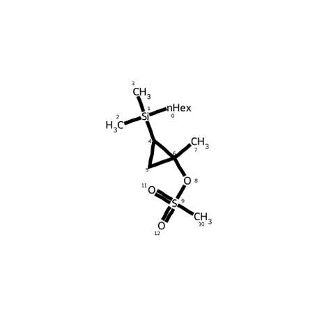 CCCCCC[Si](C)(C)C1CC1(C)OS(C)(=O)=O